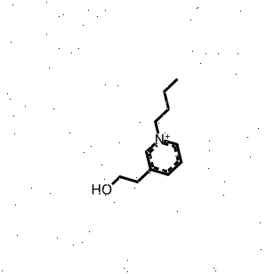 CCCC[n+]1cccc(CCO)c1